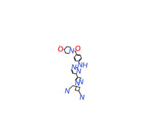 COC1CCN(C(=O)c2ccc(Nc3nccc(-c4cnn(C5(CC#N)CC(C#N)C5)c4)n3)cc2)CC1